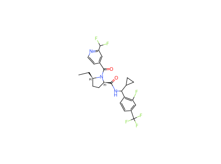 CC[C@@H]1CC[C@H](C(=O)NC(c2ccc(C(F)(F)F)cc2F)C2CC2)N1C(=O)c1ccnc(C(F)F)c1